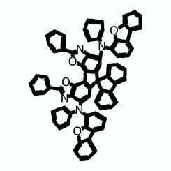 c1ccc(-c2nc3c(N(c4ccccc4)c4cccc5c4oc4ccccc45)cc4c(c3o2)-c2c(cc(N(c3ccccc3)c3cccc5c3oc3ccccc35)c3nc(-c5ccccc5)oc23)C42c3ccccc3-c3ccccc32)cc1